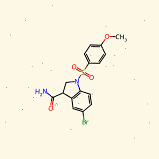 COc1ccc(S(=O)(=O)N2CC(C(N)=O)c3cc(Br)c[c]c32)cc1